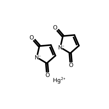 O=C1C=CC(=O)[N-]1.O=C1C=CC(=O)[N-]1.[Hg+2]